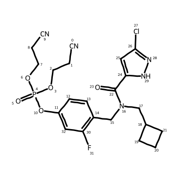 N#CCCOP(=O)(OCCC#N)Oc1ccc(CN(CC2CCC2)C(=O)c2cc(Cl)n[nH]2)c(F)c1